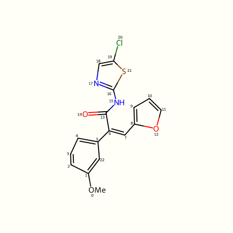 COc1cccc(C(=Cc2ccco2)C(=O)Nc2ncc(Cl)s2)c1